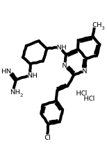 Cc1ccc2nc(/C=C/c3ccc(Cl)cc3)nc(NC3CCCC(NC(=N)N)C3)c2c1.Cl.Cl